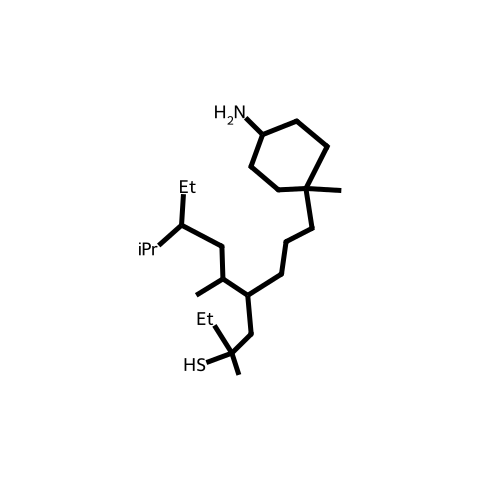 CCC(CC(C)C(CCCC1(C)CCC(N)CC1)CC(C)(S)CC)C(C)C